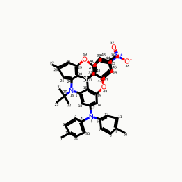 Cc1ccc(N(c2ccc(C)cc2)c2cc3c4c(c2)N(C(C)(C)C)c2cc(C)cc5c2[Si]4(c2ccc([N+](=O)[O-])cc2)c2c(cc(C)cc2O3)O5)cc1